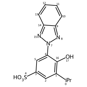 CC(C)c1cc(S(=O)(=O)O)cc(-n2nc3ccccc3n2)c1O